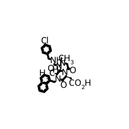 C[C@H]1[C@H]2N(C(=O)CN(C)N2C(=O)NCc2ccc(Cl)cc2)[C@@H](CC(=O)O)C(=O)N1Cc1cccc2ccccc12